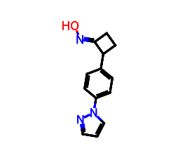 ON=C1CCC1c1ccc(-n2cccn2)cc1